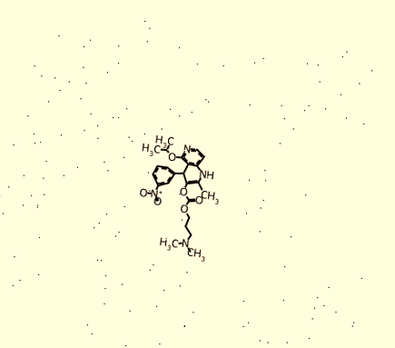 CC1=C(OC(=O)OCCCN(C)C)C(c2cccc([N+](=O)[O-])c2)c2c(ccnc2OC(C)C)N1